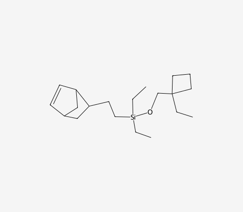 CCC1(CO[Si](CC)(CC)CCC2CC3C=CC2C3)CCC1